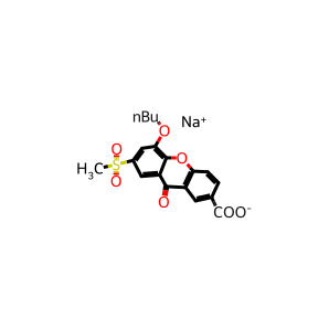 CCCCOc1cc(S(C)(=O)=O)cc2c(=O)c3cc(C(=O)[O-])ccc3oc12.[Na+]